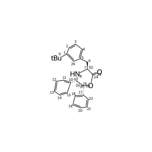 CC(C)(C)c1cccc(C[C@@H]2N[C@@H](c3ccccc3)[C@@H](c3ccccc3)OC2=O)c1